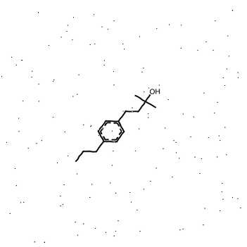 CCCc1ccc([CH]CC(C)(C)O)cc1